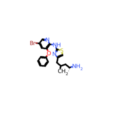 [CH2]C(C[CH]N)Cc1csc(Nc2ncc(Br)cc2Oc2ccccc2)n1